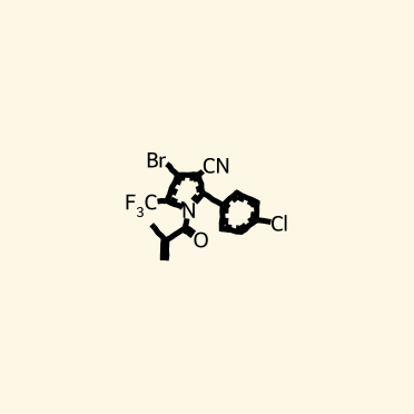 C=C(C)C(=O)n1c(-c2ccc(Cl)cc2)c(C#N)c(Br)c1C(F)(F)F